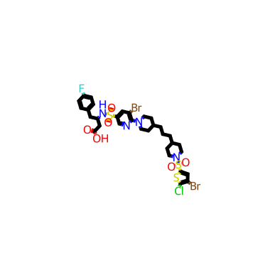 O=C(O)CC(Cc1ccc(F)cc1)NS(=O)(=O)c1cnc(N2CCC(CCCC3CCN(S(=O)(=O)c4cc(Br)c(Cl)s4)CC3)CC2)c(Br)c1